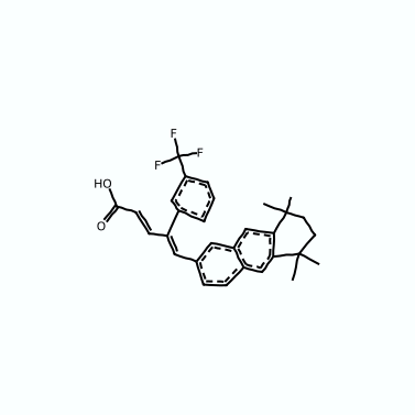 CC1(C)CCC(C)(C)c2cc3cc(C=C(C=CC(=O)O)c4cccc(C(F)(F)F)c4)ccc3cc21